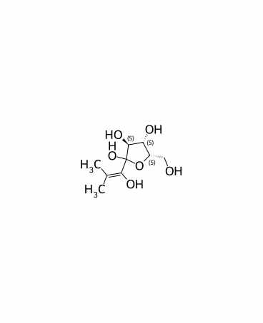 CC(C)=C(O)C1(O)O[C@@H](CO)[C@@H](O)[C@@H]1O